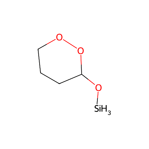 [SiH3]OC1CCCOO1